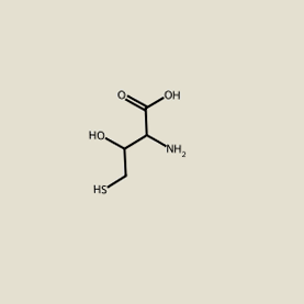 NC(C(=O)O)C(O)CS